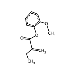 C=C(CC)C(=O)Oc1ccccc1OC